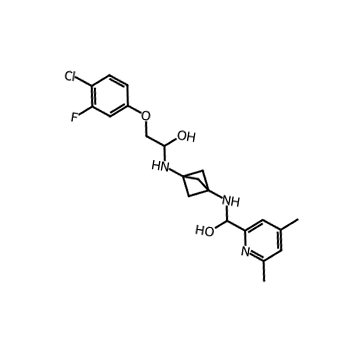 Cc1cc(C)nc(C(O)NC23CC(NC(O)COc4ccc(Cl)c(F)c4)(C2)C3)c1